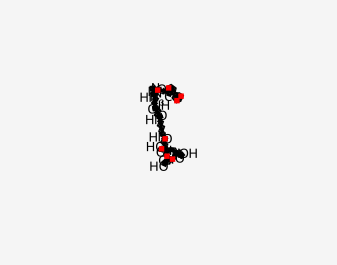 Cc1c(COc2ncnc(NCCNC(=O)CCC(=O)NCCCCCNC(=O)CCC(C(=O)O)N3CCN(CC(=O)O)CCN(CC(=O)O)CC3)n2)cccc1-c1ccccc1